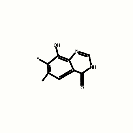 Cc1cc2c(=O)[nH]cnc2c(O)c1F